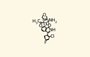 C[C@@H](Oc1ccc2c(-c3ccc(F)cc3Cl)c[nH]c(=O)c2c1)C(=O)N1CCOC[C@@H]1C(N)=O